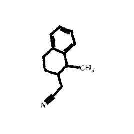 CC1c2ccccc2CCC1CC#N